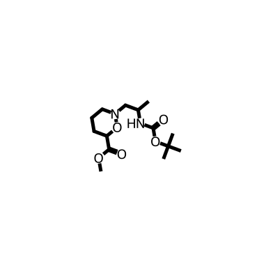 COC(=O)C1CCCN(CC(C)NC(=O)OC(C)(C)C)O1